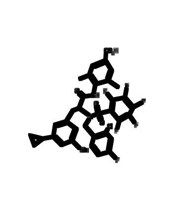 Cc1cc(C(=O)O)cc(C)c1NC(=O)C(Cc1cc(C2CC2)cc(C(C)(C)C)c1)N(Cc1ccc(F)cc1Cl)S(=O)(=O)c1c(F)c(F)c(F)c(F)c1F